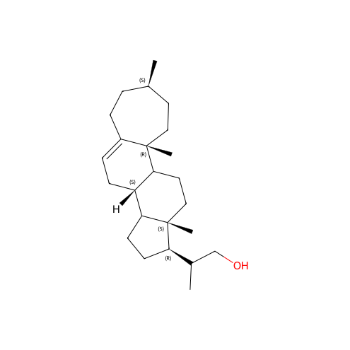 CC(CO)[C@H]1CCC2[C@@H]3CC=C4CC[C@@H](C)CC[C@]4(C)C3CC[C@@]21C